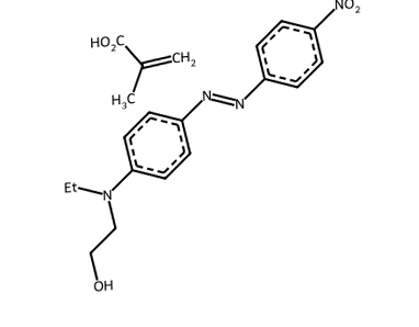 C=C(C)C(=O)O.CCN(CCO)c1ccc(/N=N/c2ccc([N+](=O)[O-])cc2)cc1